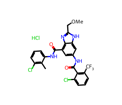 COCc1nc2c(C(=O)Nc3cccc(Cl)c3C)cc(NC(=O)c3c(Cl)cccc3C(F)(F)F)cc2[nH]1.Cl